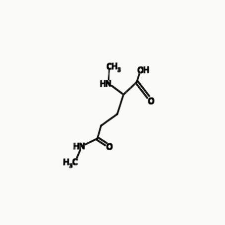 CNC(=O)CCC(NC)C(=O)O